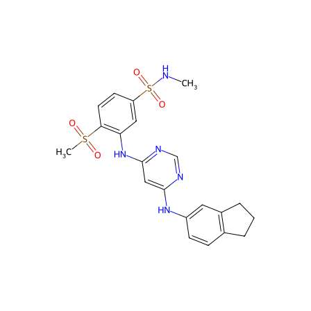 CNS(=O)(=O)c1ccc(S(C)(=O)=O)c(Nc2cc(Nc3ccc4c(c3)CCC4)ncn2)c1